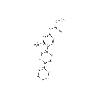 COC(=O)Cc1ccc(N2CCN(C3CCCCC3)CC2)c(N)c1